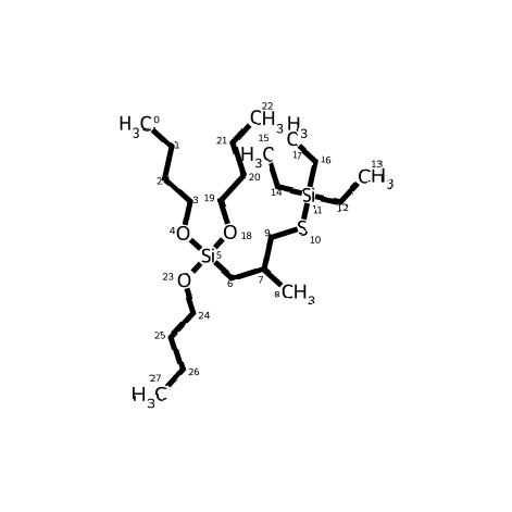 CCCCO[Si](CC(C)CS[Si](CC)(CC)CC)(OCCCC)OCCCC